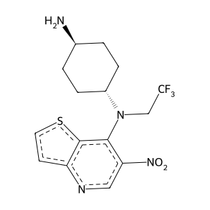 N[C@H]1CC[C@H](N(CC(F)(F)F)c2c([N+](=O)[O-])cnc3ccsc23)CC1